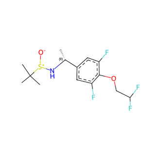 C[C@@H](N[S+]([O-])C(C)(C)C)c1cc(F)c(OCC(F)F)c(F)c1